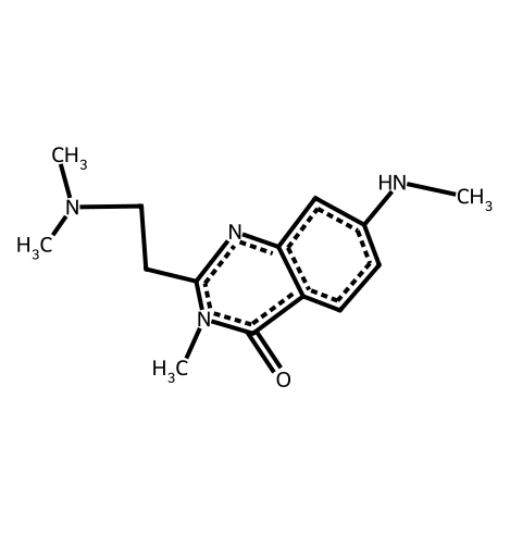 CNc1ccc2c(=O)n(C)c(CCN(C)C)nc2c1